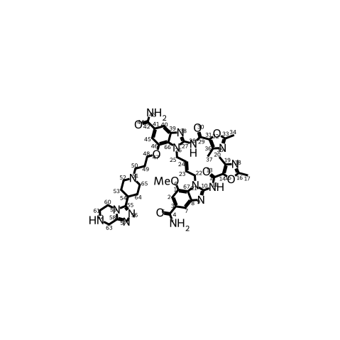 COc1cc(C(N)=O)cc2nc(NC(=O)c3oc(C)nc3C)n(C/C=C/Cn3c(NC(=O)c4oc(C)nc4C)nc4cc(C(N)=O)cc(OCCCN5CCC(c6nnc7n6CCNC7)CC5)c43)c12